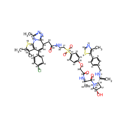 C=C(NCc1ccc(-c2scnc2C)cc1)[C@@H]1C[C@@H](O)CN1C(=O)[C@@H](NC(=O)COc1ccc(S(=O)(=O)CCNC(=O)CC2C=C(c3ccc(Cl)cc3)c3c(sc(C)c3C)-n3c(C)nnc32)cc1)C(C)(C)C